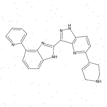 C1=C(c2ccc3[nH]nc(-c4nc5c(-c6ccccn6)cccc5[nH]4)c3n2)CCNC1